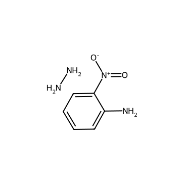 NN.Nc1ccccc1[N+](=O)[O-]